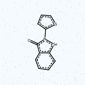 O=c1c2ccccc2[se]n1-c1cccs1